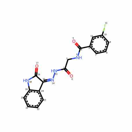 O=C(CNC(=O)c1cccc(F)c1)N/N=C1\C(=O)Nc2ccccc21